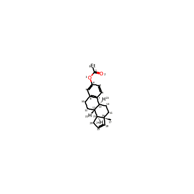 CCC(=O)Oc1ccc2c(c1)CC[C@@H]1[C@@H]2CC[C@]2(C)C=CC[C@@H]12